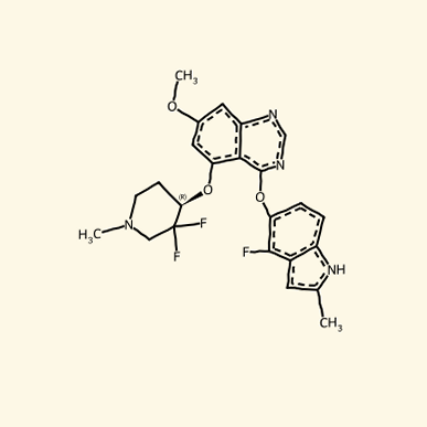 COc1cc(O[C@@H]2CCN(C)CC2(F)F)c2c(Oc3ccc4[nH]c(C)cc4c3F)ncnc2c1